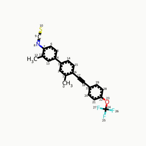 Cc1cc(-c2ccc(N=C=S)c(C)c2)ccc1C#Cc1ccc(OC(F)(F)F)cc1